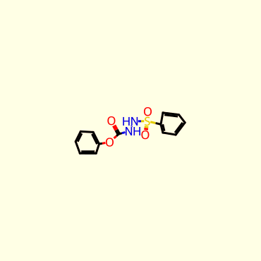 O=C(NNS(=O)(=O)c1ccccc1)Oc1ccccc1